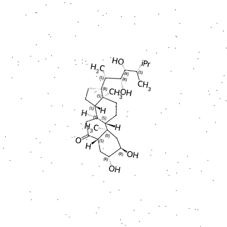 CC(C)[C@H](C)[C@@H](O)[C@H](O)[C@@H](C)[C@H]1CC[C@H]2[C@@H]3CC(=O)[C@H]4C[C@@H](O)[C@H](O)C[C@]4(C)[C@H]3CC[C@]12C